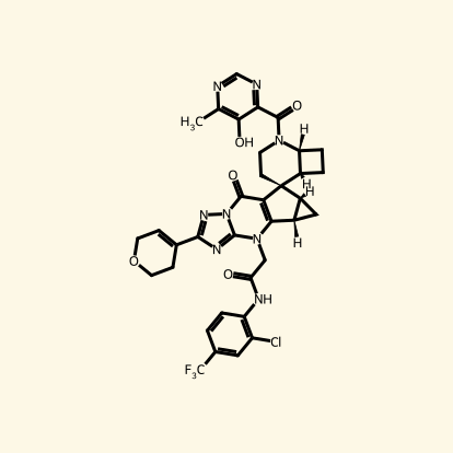 Cc1ncnc(C(=O)N2CC[C@@]3(c4c(n(CC(=O)Nc5ccc(C(F)(F)F)cc5Cl)c5nc(C6=CCOCC6)nn5c4=O)[C@H]4C[C@H]43)[C@H]3CC[C@H]32)c1O